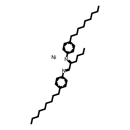 CCCCCCCCCc1ccc(N=CC(CCCC)=Nc2ccc(CCCCCCCCC)cc2)cc1.[Ni]